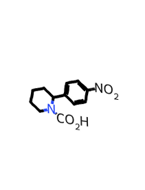 O=C(O)N1CCCCC1c1ccc([N+](=O)[O-])cc1